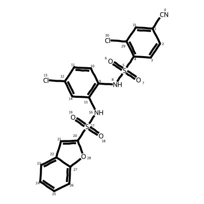 N#Cc1ccc(S(=O)(=O)Nc2ccc(Cl)cc2NS(=O)(=O)c2cc3ccccc3o2)c(Cl)c1